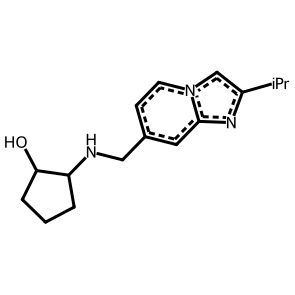 CC(C)c1cn2ccc(CNC3CCCC3O)cc2n1